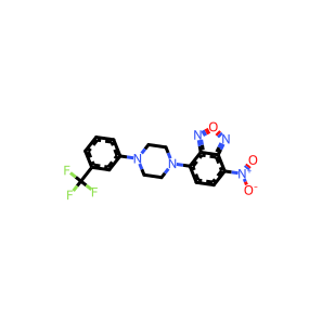 O=[N+]([O-])c1ccc(N2CCN(c3cccc(C(F)(F)F)c3)CC2)c2nonc12